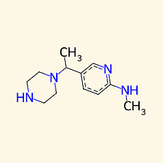 CNc1ccc(C(C)N2CCNCC2)cn1